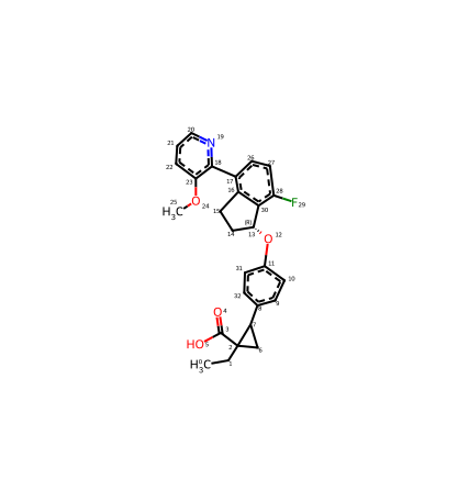 CCC1(C(=O)O)CC1c1ccc(O[C@@H]2CCc3c(-c4ncccc4OC)ccc(F)c32)cc1